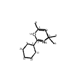 CC1=CC(C)(C)N=C(C2CCCCC2)O1